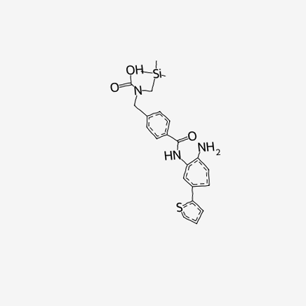 C[Si](C)(C)CN(Cc1ccc(C(=O)Nc2cc(-c3cccs3)ccc2N)cc1)C(=O)O